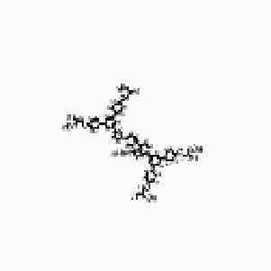 CCCCCCC1(CCCCCC)c2cc(-c3cc(-c4ccc(OCC(CC)CCCC)cc4)cc(-c4ccc(OCC(CC)CCCC)cc4)c3)ccc2-c2ccc(-c3ccc(-c4cc(-c5ccc(OCC(CC)CCCC)cc5)cc(-c5ccc(OCC(CC)CCCC)cc5)c4)s3)cc21